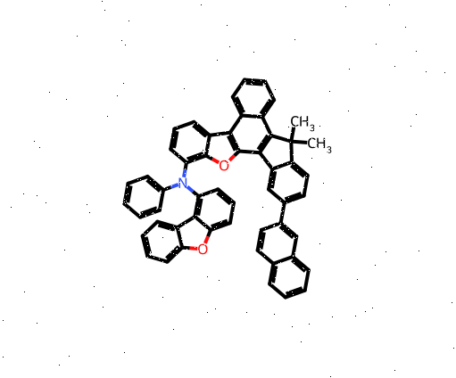 CC1(C)c2ccc(-c3ccc4ccccc4c3)cc2-c2c1c1ccccc1c1c2oc2c(N(c3ccccc3)c3cccc4oc5ccccc5c34)cccc21